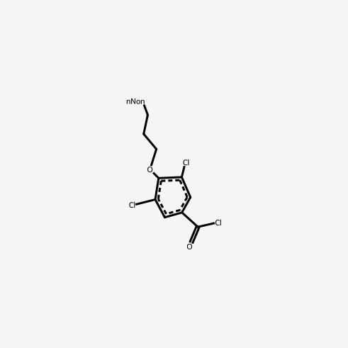 CCCCCCCCCCCCOc1c(Cl)cc(C(=O)Cl)cc1Cl